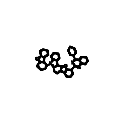 c1ccc(-c2nc(-c3cccc4c3oc3c4ccc4c3c3ccccc3n4-c3cccc4oc5ccccc5c34)nc3ccccc23)cc1